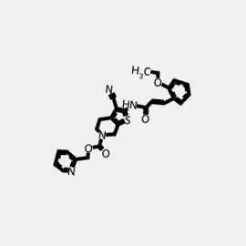 CCOc1ccccc1C=CC(=O)Nc1sc2c(c1C#N)CCN(C(=O)OCc1ccccn1)C2